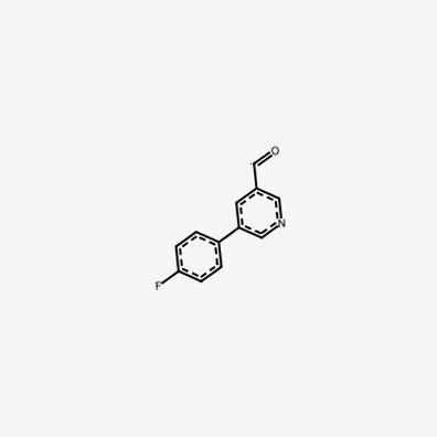 O=[C]c1cncc(-c2ccc(F)cc2)c1